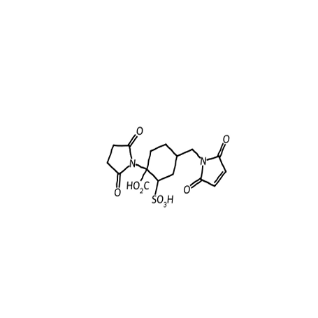 O=C1C=CC(=O)N1CC1CCC(C(=O)O)(N2C(=O)CCC2=O)C(S(=O)(=O)O)C1